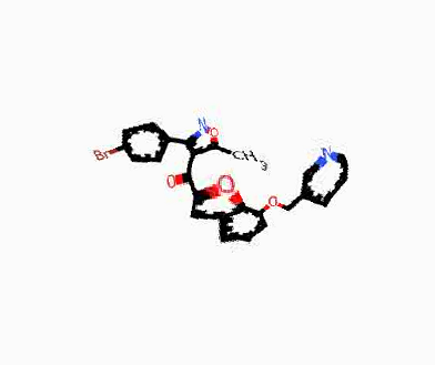 Cc1onc(-c2ccc(Br)cc2)c1C(=O)c1cc2cccc(OCc3cccnc3)c2o1